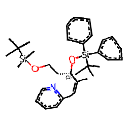 CC(=Cc1ccccn1)[C@H](CCO[Si](C)(C)C(C)(C)C)O[Si](c1ccccc1)(c1ccccc1)C(C)(C)C